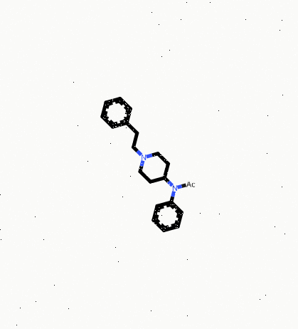 CC(=O)N(c1ccccc1)C1CCN(CCc2ccccc2)CC1